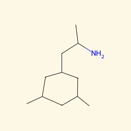 CC(N)CC1CC(C)CC(C)C1